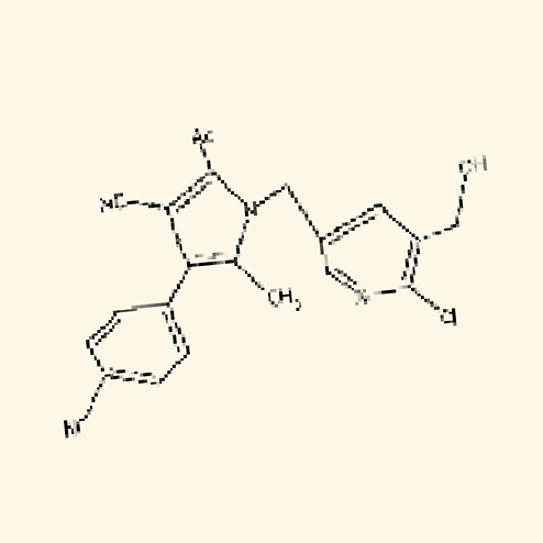 CC(=O)c1c(C#N)c(-c2ccc(C#N)cc2)c(C)n1Cc1cnc(Cl)c(CO)c1